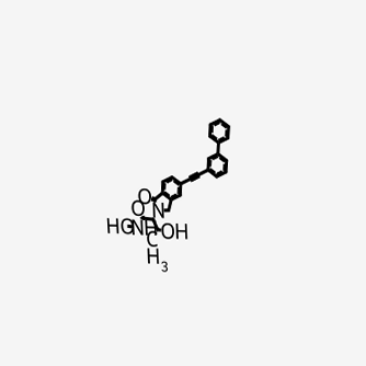 C[C@@H](O)[C@@H](C(=O)NO)N1Cc2cc(C#Cc3cccc(-c4ccccc4)c3)ccc2C1=O